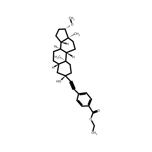 CCOC(=O)c1ccc(C#C[C@@]2(O)CC[C@@]3(C)[C@@H](CC[C@@H]4[C@@H]3CC[C@]3(C)[C@@H](OC)CC[C@@H]43)C2)cc1